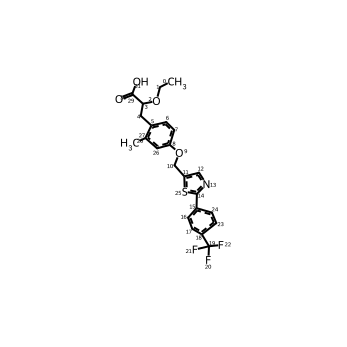 CCOC(Cc1ccc(OCc2cnc(-c3ccc(C(F)(F)F)cc3)s2)cc1C)C(=O)O